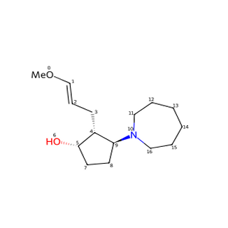 COC=CC[C@H]1[C@@H](O)CC[C@@H]1N1CCCCCC1